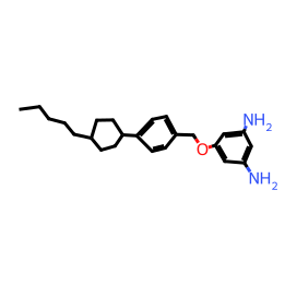 CCCCCC1CCC(c2ccc(COc3cc(N)cc(N)c3)cc2)CC1